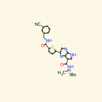 C[C@H](NC(=O)c1c[nH]c2ncc(-c3ccc(C(=O)NCc4cccc(C#N)c4)s3)nc12)C(C)(C)C